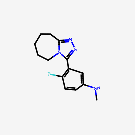 CNc1ccc(F)c(-c2nnc3n2CCCCC3)c1